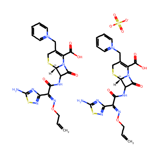 C=CCON=C(C(=O)NC1C(=O)N2C(C(=O)O)=C(C[n+]3ccccc3)CS[C@@H]12)c1nsc(N)n1.C=CCON=C(C(=O)NC1C(=O)N2C(C(=O)O)=C(C[n+]3ccccc3)CS[C@@H]12)c1nsc(N)n1.O=S(=O)([O-])[O-]